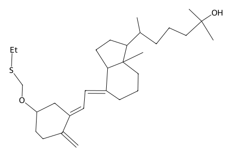 C=C1CCC(OCSCC)CC1=CC=C1CCCC2(C)C1CCC2C(C)CCCC(C)(C)O